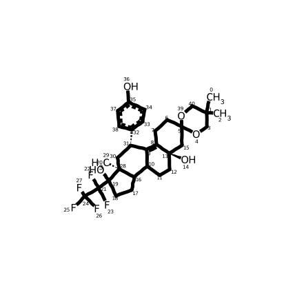 CC1(C)COC2(CCC3=C4C(CC[C@@]3(O)C2)C2CCC(O)(C(F)(F)C(F)(F)F)[C@@]2(C)C[C@@H]4c2ccc(O)cc2)OC1